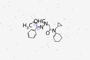 C/C=C\C(=N/N(C=O)CC(=O)N(C1=CCCCC1)C1CC1)c1ccccc1